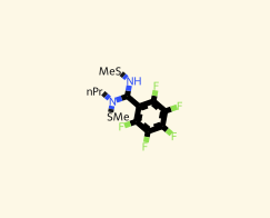 CCCN(SC)C(NSC)c1c(F)c(F)c(F)c(F)c1F